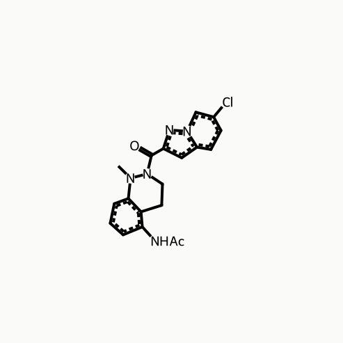 CC(=O)Nc1cccc2c1CCN(C(=O)c1cc3ccc(Cl)cn3n1)N2C